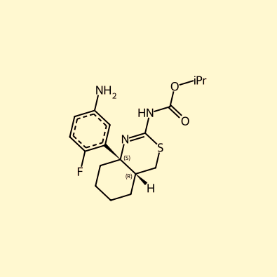 CC(C)OC(=O)NC1=N[C@@]2(c3cc(N)ccc3F)CCCC[C@H]2CS1